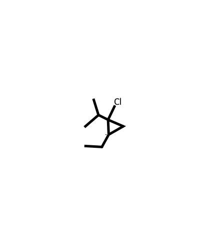 CC[C]1CC1(Cl)C(C)C